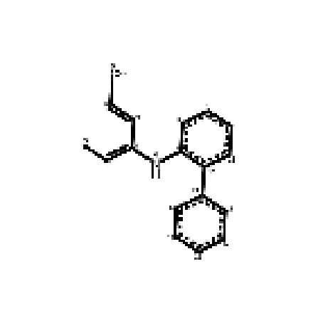 CC=C(C=CC(C)C)Nc1ccccc1-c1ccccc1